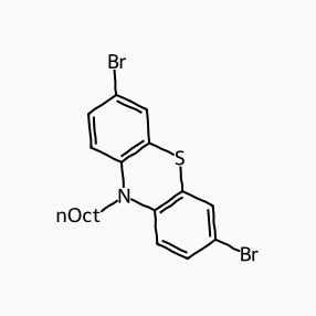 CCCCCCCCN1c2ccc(Br)cc2Sc2cc(Br)ccc21